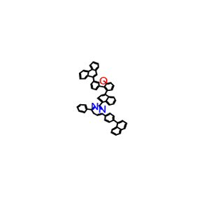 C1=C(c2ccc(-c3cccc4ccccc34)cc2)N=C(c2ccc(-c3cccc4oc5c(-c6cc7ccccc7c7ccccc67)cccc5c34)c3ccccc23)N=C(c2ccccc2)C1